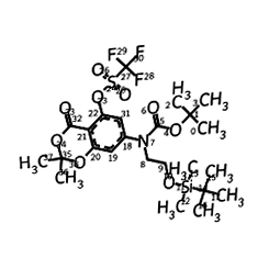 CC(C)(C)OC(=O)N(CCO[Si](C)(C)C(C)(C)C)c1cc2c(c(OS(=O)(=O)C(F)(F)F)c1)C(=O)OC(C)(C)O2